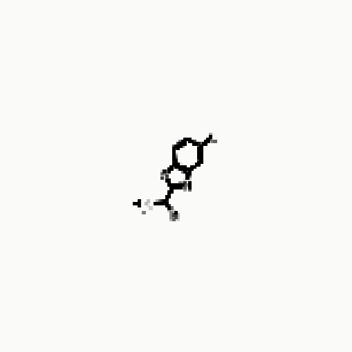 CC(Br)c1nc2cc(Cl)ccc2s1